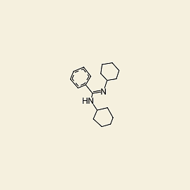 c1ccc(/C(=N\C2CCCCC2)NC2CCCCC2)cc1